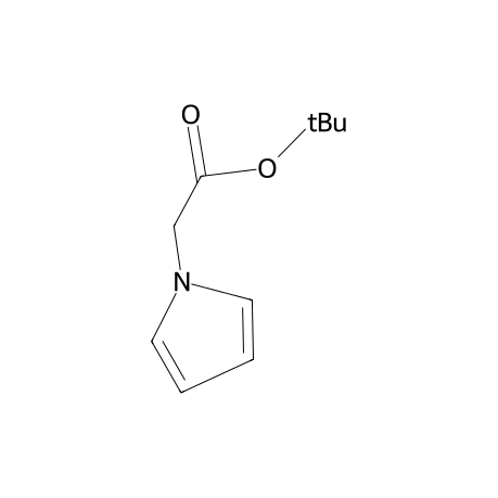 CC(C)(C)OC(=O)Cn1cccc1